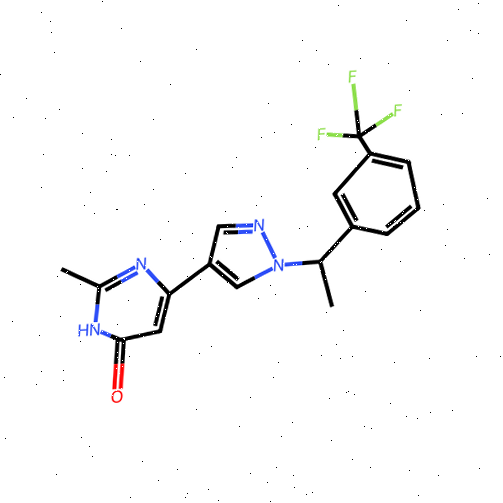 Cc1nc(-c2cnn(C(C)c3cccc(C(F)(F)F)c3)c2)cc(=O)[nH]1